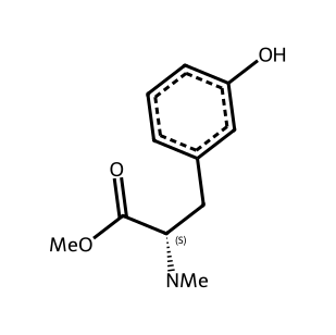 CN[C@@H](Cc1cccc(O)c1)C(=O)OC